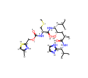 CSC[C@H](NC(=O)OCc1nc(C)cs1)C(=O)N[C@H](CC(C)C)[C@@H](O)C[C@@H](C)C(=O)N[C@@H](c1ncc[nH]1)C(C)C